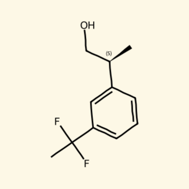 C[C@H](CO)c1cccc(C(C)(F)F)c1